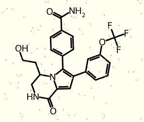 NC(=O)c1ccc(-c2c(-c3cccc(OC(F)(F)F)c3)cc3n2C(CCO)CNC3=O)cc1